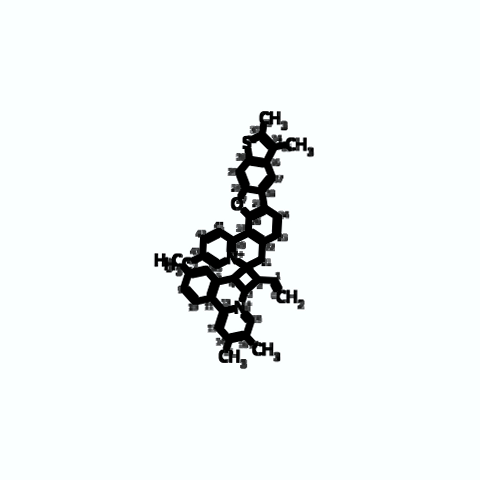 C=CC1C2C(c3cc(C)ccc3-c3cc(C)c(C)c[n+]32)C12Cc1ccc3c(oc4cc5sc(C)c(C)c5cc43)c1-c1ccc(C)c[n+]12